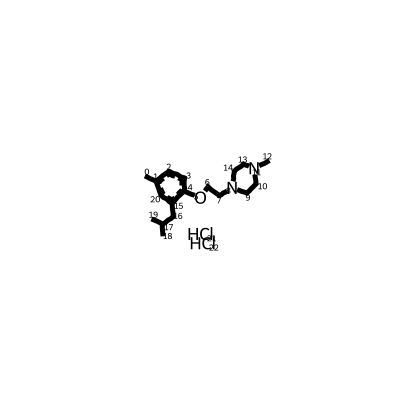 Cc1ccc(OCCN2CCN(C)CC2)c(CC(C)C)c1.Cl.Cl